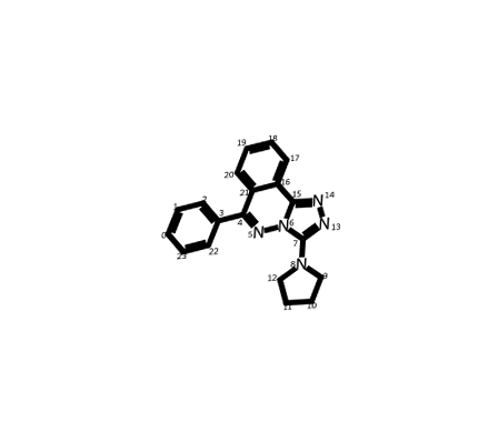 c1ccc(-c2nn3c(N4CCCC4)nnc3c3ccccc23)cc1